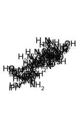 CC(C)NCCC[C@H](NC(=O)[C@H](CCN)NC(=O)[C@H](CS)NC(=O)[C@H](CCCCN)NC(=O)[C@@H](CCN)NC(=O)[C@@H](NC(=O)[C@H](CCN)NC(=O)[C@H](CCCNC(=N)N)NC(=O)[C@H](CC(N)=O)NC(=O)[C@@H](NC(=O)[C@H](Cc1ccc(O)cc1)NC(=O)[C@@H](N)[C@@H](C)O)C(C)(C)S)[C@@H](C)O)C(=O)N[C@@H](Cc1ccc(O)cc1)C(=O)O